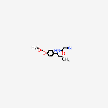 CCCC(NC(=O)CC#N)c1ccc(OCOC)cc1